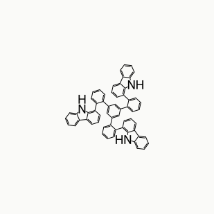 c1ccc(-c2cccc3c2[nH]c2ccccc23)c(-c2cc(-c3ccccc3-c3cccc4c3[nH]c3ccccc34)cc(-c3ccccc3-c3cccc4c3[nH]c3ccccc34)c2)c1